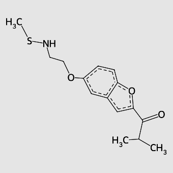 CSNCCOc1ccc2oc(C(=O)C(C)C)cc2c1